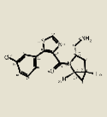 NC[C@@H]1C[C@@H]2C[C@@H]2N1C(=O)c1ncsc1-c1cccc(Cl)c1